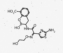 Nc1nc(C(=NOCCO)C(=O)NC2Cc3cccc(C(=O)O)c3OB2O)cs1